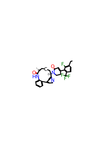 CCc1ccc(C(F)(F)F)c(C2=CC(=O)N([C@H]3CCC[C@@H](C)C(=O)Nc4ccccc4-c4ccnc3c4)CC2)c1F